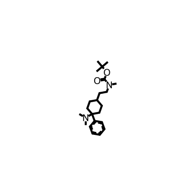 CN(CCC1CCC(c2ccccc2)(N(C)C)CC1)C(=O)OC(C)(C)C